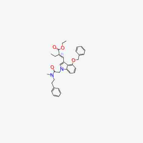 CCOC(=O)/C(=C/c1cn(CC(=O)N(C)CCc2ccccc2)c2cccc(OCc3ccccc3)c12)CC